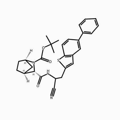 CC(C)(C)OC(=O)N1[C@@H]2CC[C@@H](C2)[C@H]1C(=O)NC(C#N)Cc1cc2cc(-c3ccccc3)ccc2s1